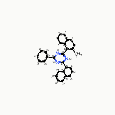 Cc1ccc2ccccc2c1-c1nc(-c2ccccc2)nc(-c2cccc3ccccc23)n1